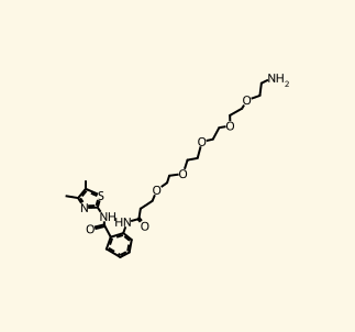 Cc1nc(NC(=O)c2ccccc2NC(=O)CCOCCOCCOCCOCCOCCN)sc1C